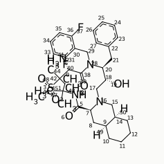 CC(C)(C)NC(=O)[C@@H]1C[C@@H]2CCCC[C@@H]2CN1C[C@@H](O)[C@H](Cc1ccccc1)N(Cc1c(F)cccc1F)C(=O)[C@@H](N)C(C)(C)S(C)(=O)=O